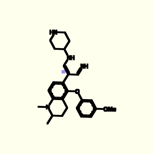 COc1cccc(Oc2c(/C(C=N)=C/NC3CCNCC3)ccc3c2CCC(C)N3C)c1